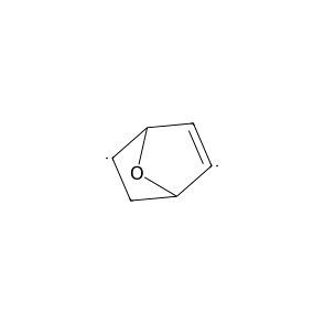 [C]1=CC2[CH]CC1O2